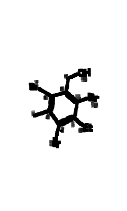 CCc1c(Br)c(C)c(Br)c(CO)c1Br